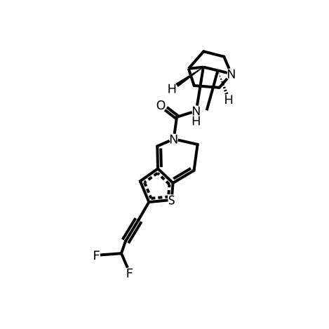 C[C@H]1[C@H](NC(=O)N2C=c3cc(C#CC(F)F)sc3=CC2)C2CCN1CC2